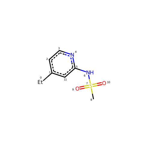 CCc1ccnc(NS(C)(=O)=O)c1